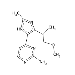 COCC(C)c1nc(C)[nH]c1-c1ccnc(N)n1